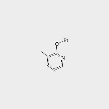 CCOc1ncccc1C